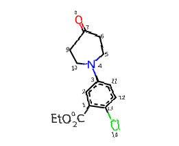 CCOC(=O)c1cc(N2CCC(=O)CC2)ccc1Cl